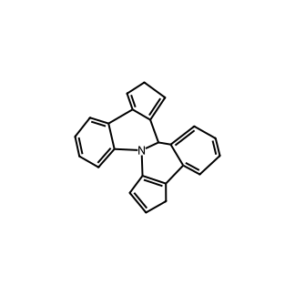 C1=CC2=C(C1)c1ccccc1C1C3=CCC=C3c3ccccc3N21